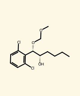 CCCC[C@H](O)[C@@H](OCOC)c1c(Cl)cccc1Cl